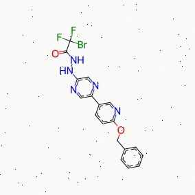 O=C(NNc1cnc(-c2ccc(OCc3ccccc3)nc2)cn1)C(F)(F)Br